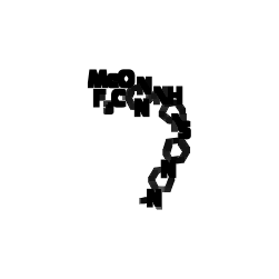 COc1nc(NC2CCN(Sc3ccc(N4CCC(N(C)C)CC4)cc3)CC2)ncc1C(F)(F)F